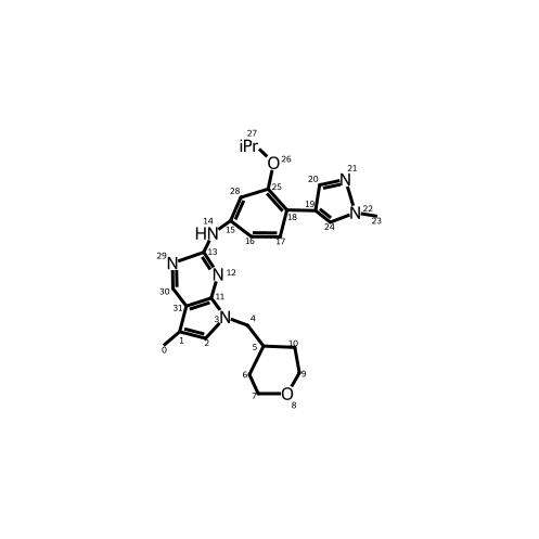 Cc1cn(CC2CCOCC2)c2nc(Nc3ccc(-c4cnn(C)c4)c(OC(C)C)c3)ncc12